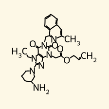 C=CCOC(=O)Cn1c(=O)n(Cc2nc(C)cc3ccccc23)c(=O)c2c1nc(N1CCCC(N)C1)n2CC